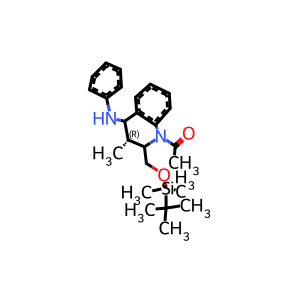 CC(=O)N1c2ccccc2C(Nc2ccccc2)[C@@H](C)C1CO[Si](C)(C)C(C)(C)C